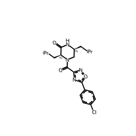 CC(C)C[C@H]1CN(C(=O)c2noc(-c3ccc(Cl)cc3)n2)[C@@H](CC(C)C)C(=O)N1